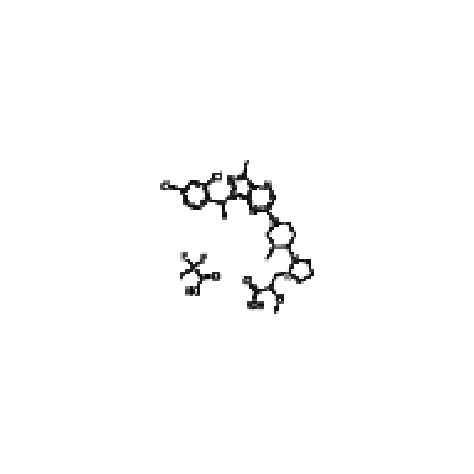 COC(C[C@@H]1CCCN1C1CCN(c2cnc3c(C)nn(C(C)c4ccc(Cl)cc4Cl)c3n2)CC1C)C(=O)O.O=C(O)C(F)(F)F